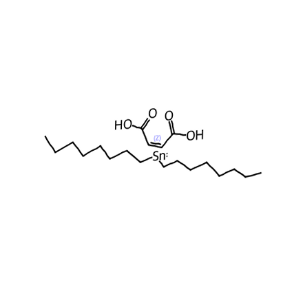 CCCCCCC[CH2][Sn][CH2]CCCCCCC.O=C(O)/C=C\C(=O)O